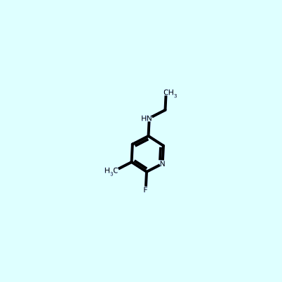 CCNc1cnc(F)c(C)c1